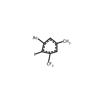 CC(=O)c1cc(C)cc(C(F)(F)F)c1I